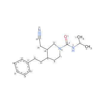 CC(C)NC(=O)N1CCC(CCc2ccccc2)C(CC#N)C1